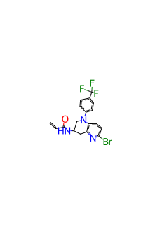 C=CC(=O)NC1Cc2nc(Br)ccc2N(c2ccc(C(F)(F)F)cc2)C1